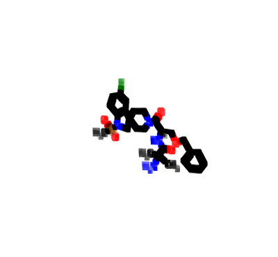 CC(C)(N)C(=O)N[C@H](COCc1ccccc1)C(=O)N1CCC2(CC1)CN(S(C)(=O)=O)c1ccc(F)cc12